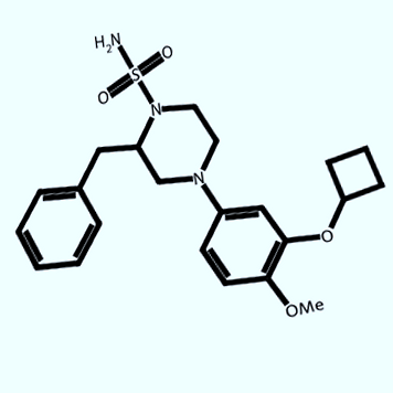 COc1ccc(N2CCN(S(N)(=O)=O)C(Cc3ccccc3)C2)cc1OC1CCC1